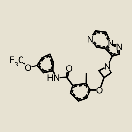 Cc1c(OC2CN(c3cnn4ccncc34)C2)cccc1C(=O)Nc1cccc(OC(F)(F)F)c1